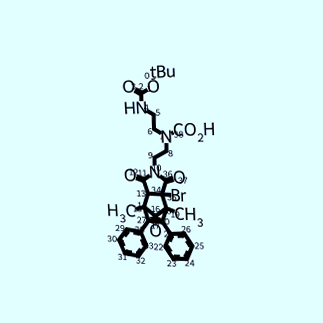 CC(C)(C)OC(=O)NCCN(CCN1C(=O)C2C3(C)C(=O)C(C)(C(c4ccccc4)=C3c3ccccc3)C2(Br)C1=O)C(=O)O